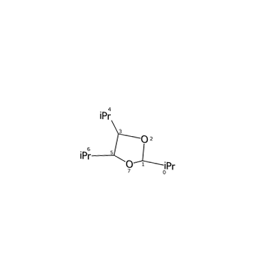 CC(C)C1OC(C(C)C)C(C(C)C)O1